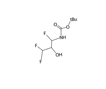 CC(C)(C)OC(=O)NC(F)C(O)C(F)F